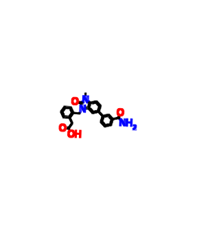 Cn1c(=O)n(Cc2ccccc2CC(=O)O)c2cc(-c3cccc(C(N)=O)c3)ccc21